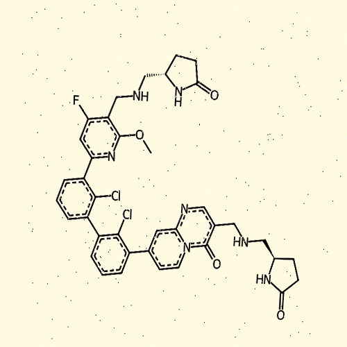 COc1nc(-c2cccc(-c3cccc(-c4ccn5c(=O)c(CNC[C@H]6CCC(=O)N6)cnc5c4)c3Cl)c2Cl)cc(F)c1CNC[C@@H]1CCC(=O)N1